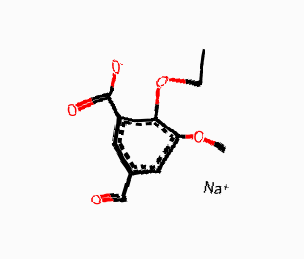 CCOc1c(OC)cc(C=O)cc1C(=O)[O-].[Na+]